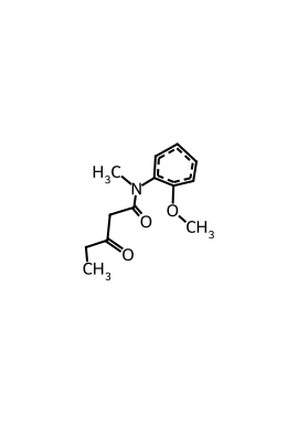 CCC(=O)CC(=O)N(C)c1ccccc1OC